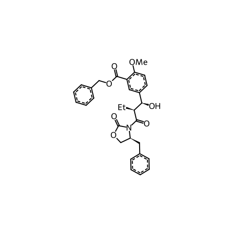 CC[C@H](C(=O)N1C(=O)OC[C@@H]1Cc1ccccc1)[C@H](O)c1ccc(OC)c(C(=O)OCc2ccccc2)c1